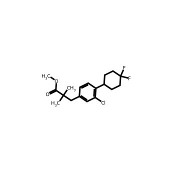 COC(=O)C(C)(C)Cc1ccc(C2CCC(F)(F)CC2)c(Cl)c1